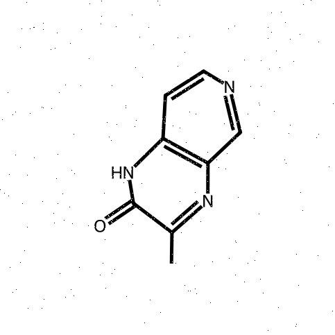 Cc1nc2cnccc2[nH]c1=O